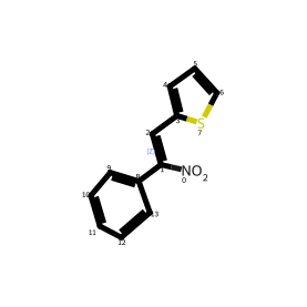 O=[N+]([O-])/C(=C\c1cccs1)c1ccccc1